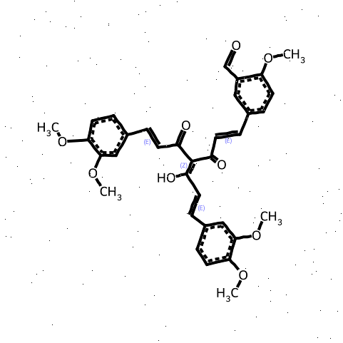 COc1ccc(/C=C/C(=O)/C(C(=O)/C=C/c2ccc(OC)c(OC)c2)=C(O)\C=C\c2ccc(OC)c(OC)c2)cc1C=O